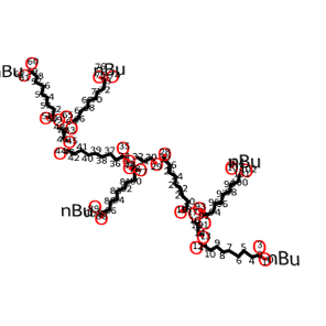 CCCCOC(=O)CCCCCCCC(=O)OCC(COC(=O)CCCCCCCC(=O)OCC(COC(=O)CCCCCCCC(=O)OCC(COC(=O)CCCCCCCC(=O)OCCCC)OC(=O)CCCCCCCC(=O)OCCCC)OC(=O)CCCCCCCC(=O)OCCCC)OC(=O)CCCCCCCC(=O)OCCCC